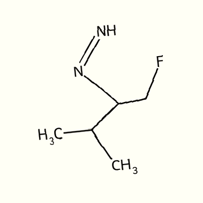 CC(C)C(CF)N=N